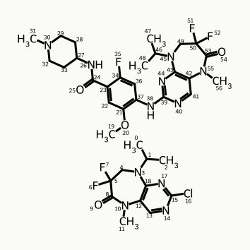 CC(C)N1CC(F)(F)C(=O)N(C)c2cnc(Cl)nc21.COc1cc(C(=O)NC2CCN(C)CC2)c(F)cc1Nc1ncc2c(n1)N(C(C)C)CC(F)(F)C(=O)N2C